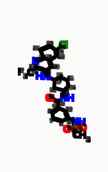 CS(=O)(=O)Nc1cccc(C(=O)N[C@H]2CCCC(Nc3cc4cc(Cl)ccc4nc3C(F)(F)F)C2)c1